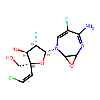 NC1=NC2OC2N([C@@H]2O[C@](/C=C\Cl)(CO)[C@@H](O)[C@@H]2F)C=C1F